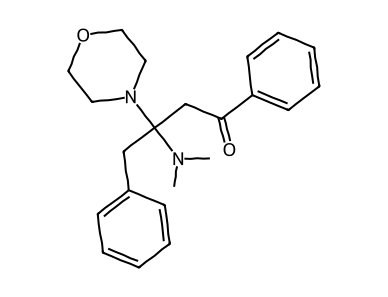 CN(C)C(CC(=O)c1ccccc1)(Cc1ccccc1)N1CCOCC1